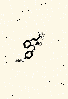 COc1ccc(Cn2c(=O)c(C(N)=O)cc3ccccc32)cc1